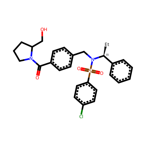 CC[C@@H](c1ccccc1)N(Cc1ccc(C(=O)N2CCCC2CO)cc1)S(=O)(=O)c1ccc(Cl)cc1